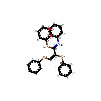 C(/Sc1ccccc1)=C(Sc1ccccc1)/C(=N/c1ccccc1)Sc1ccccc1